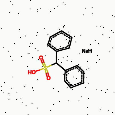 O=S(=O)(O)C(c1ccccc1)c1ccccc1.[NaH]